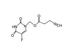 C#CCCC(=O)OCn1cc(F)c(=O)[nH]c1=O